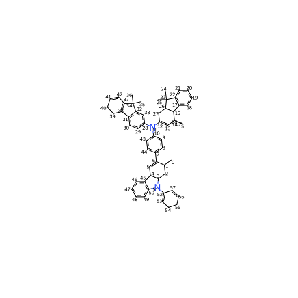 CC1CC2C(C=C1c1ccc(N(C3=C[C@H](C)C4c5ccccc5C(C)(C)C4C3)c3ccc4c(c3)C(C)(C)C3=C4CCC=C3)cc1)c1ccccc1N2C1=CCCC=C1